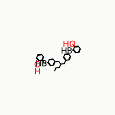 CCCC(Cc1ccc(Bc2ccccc2O)cc1)Cc1ccc(Bc2ccccc2O)cc1